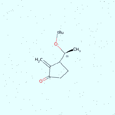 C=C1C(=O)CCC1[C@H](C)OC(C)(C)C